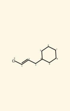 Cl/C=C/C[C]1CCCCC1